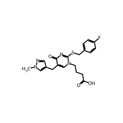 Cn1cc(Cc2cn(CCCC(=O)O)c(SCc3ccc(F)cc3)nc2=O)cn1